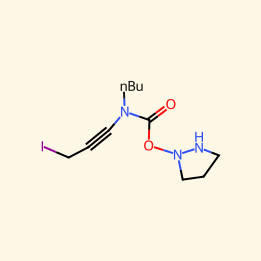 CCCCN(C#CCI)C(=O)ON1CCCN1